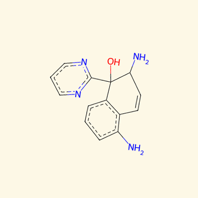 Nc1cccc2c1C=CC(N)C2(O)c1ncccn1